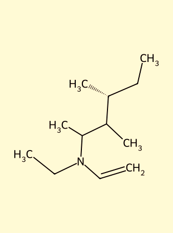 C=CN(CC)C(C)C(C)[C@H](C)CC